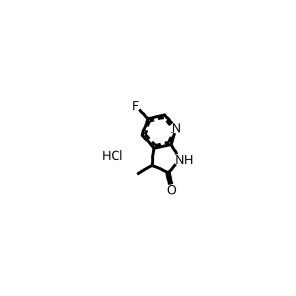 CC1C(=O)Nc2ncc(F)cc21.Cl